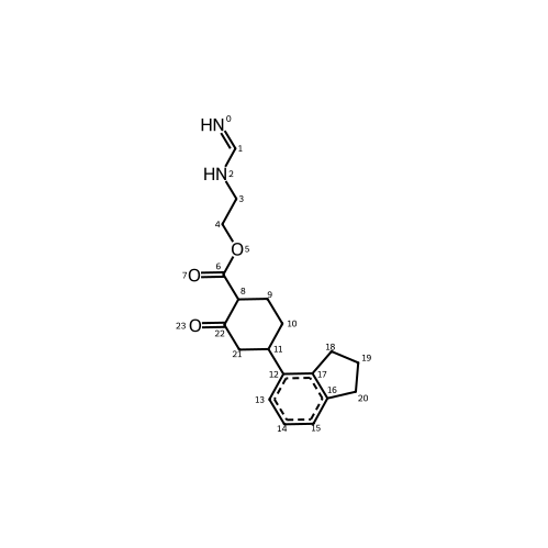 N=CNCCOC(=O)C1CCC(c2cccc3c2CCC3)CC1=O